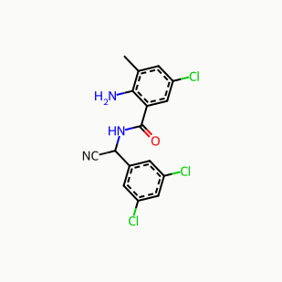 Cc1cc(Cl)cc(C(=O)NC(C#N)c2cc(Cl)cc(Cl)c2)c1N